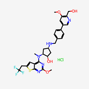 COc1nc(N(C)[C@H]2C[C@@H](NCc3ccc(-c4cnc(CO)c(OC)c4)cc3)C[C@H]2O)c2cc(CC(F)(F)F)sc2n1.Cl